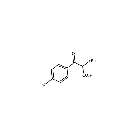 CCCCC(C(=O)O)C(=O)c1ccc(Cl)cc1